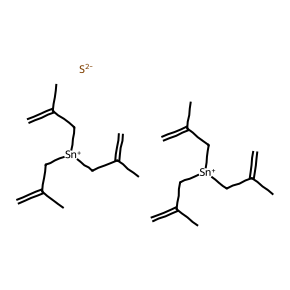 C=C(C)[CH2][Sn+]([CH2]C(=C)C)[CH2]C(=C)C.C=C(C)[CH2][Sn+]([CH2]C(=C)C)[CH2]C(=C)C.[S-2]